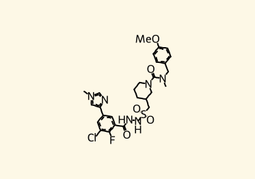 COc1ccc(CN(C)C(=O)N2CCCC(CS(=O)(=O)NNC(=O)c3cc(-c4cn(C)cn4)cc(Cl)c3F)C2)cc1